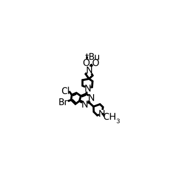 CN1CCC(c2nc(N3CCC4(CC3)CN(C(=O)OC(C)(C)C)C4)c3cc(Cl)c(Br)cc3n2)CC1